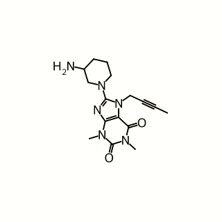 CC#CCn1c(N2CCCC(N)C2)nc2c1c(=O)n(C)c(=O)n2C